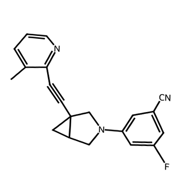 Cc1cccnc1C#CC12CC1CN(c1cc(F)cc(C#N)c1)C2